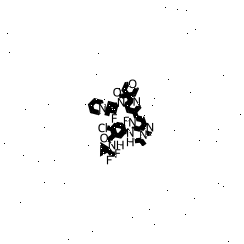 CC(C)n1cnc2cc(-c3cnc4c(c3)N(C3CC(C)(N5CCCCC5)C3)C(=O)C43CCOCC3)nc(Nc3cc(C(=O)NC4(C(F)F)CC4)c(Cl)c(F)c3F)c21